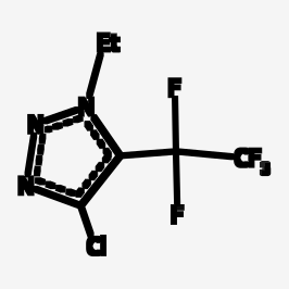 CCn1nnc(Cl)c1C(F)(F)C(F)(F)F